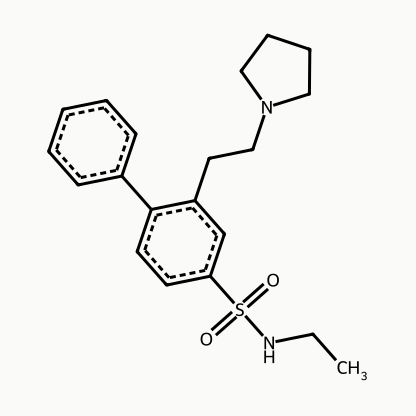 CCNS(=O)(=O)c1ccc(-c2ccccc2)c(CCN2CCCC2)c1